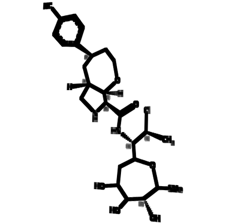 CSC1OC([C@H](NC(=O)[C@H]2NC[C@@H]3C[C@@H](c4ccc(C#N)cc4)CCO[C@H]32)[C@H](C)Cl)CC(O)C(O)[C@H]1O